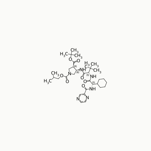 CC(C)COC(=O)N1C[C@H](NC(=O)[C@@H](NC(=O)[C@@H](NC(=O)c2cnccn2)C2CCCCC2)C(C)(C)C)[C@H](C(=O)OC(C)(C)C)C1